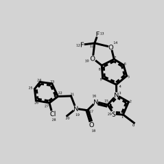 Cc1cn(-c2ccc3c(c2)OC(F)(F)O3)c(=NC(=O)N(C)Cc2ccccc2Cl)s1